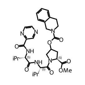 COC(=O)[C@@H]1CC(OC(=O)N2CCc3ccccc3C2)CN1C(=O)[C@@H](NC(=O)[C@@H](NC(=O)c1cnccn1)C(C)C)C(C)C